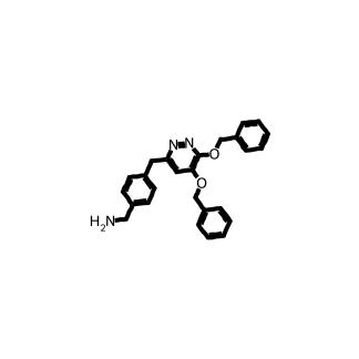 NCc1ccc(Cc2cc(OCc3ccccc3)c(OCc3ccccc3)nn2)cc1